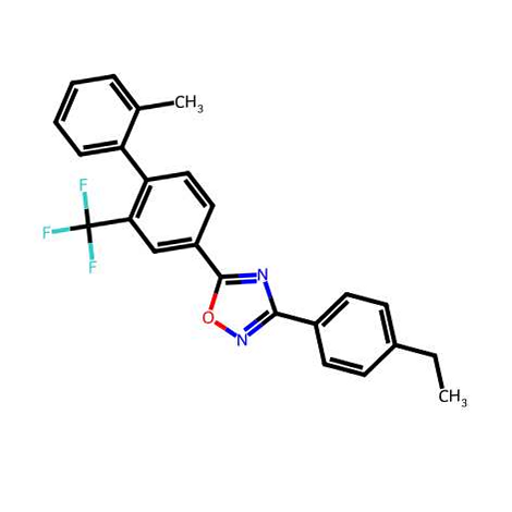 CCc1ccc(-c2noc(-c3ccc(-c4ccccc4C)c(C(F)(F)F)c3)n2)cc1